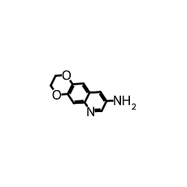 Nc1cnc2cc3c(cc2c1)OCCO3